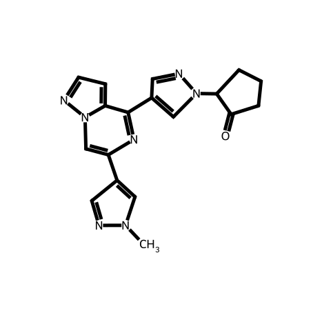 Cn1cc(-c2cn3nccc3c(-c3cnn(C4CCCC4=O)c3)n2)cn1